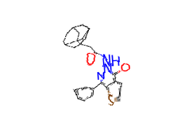 O=C(CC12CC3CC(CC(C3)C1)C2)Nn1nc(-c2ccccc2)c2sccc2c1=O